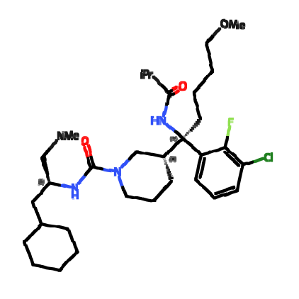 CNC[C@H](CC1CCCCC1)NC(=O)N1CCC[C@@H]([C@@](CCCCOC)(NC(=O)C(C)C)c2cccc(Cl)c2F)C1